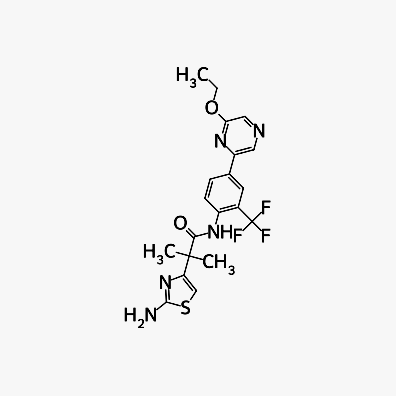 CCOc1cncc(-c2ccc(NC(=O)C(C)(C)c3csc(N)n3)c(C(F)(F)F)c2)n1